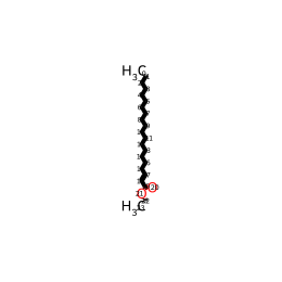 CCCCCCCCCCCCCCCCC/C=C/C(=O)OCC